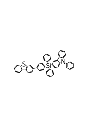 C1=CC2Sc3cc(-c4ccc([Si](c5ccccc5)(c5ccccc5)c5ccc6c(c5)c5ccccc5n6-c5ccccc5)cc4)ccc3C2C=C1